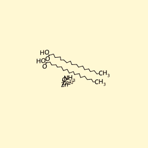 CCCCCCCCCCCCCCCCCC(=O)O.CCCCCCCCCCCCCCCCCC(=O)O.N.[O-2].[Zn+2].[Zn+2]